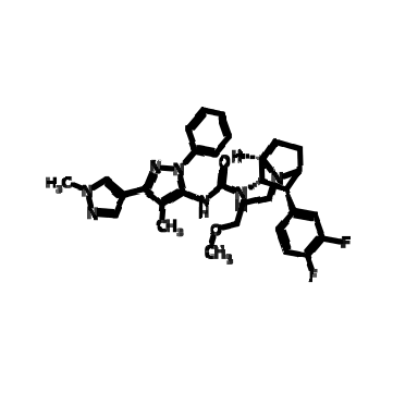 COCCCN1C2CC[C@@H]1[C@@H](NC(=O)Nc1c(C)c(-c3cnn(C)c3)nn1-c1ccccc1)[C@@H]2c1ccc(F)c(F)c1